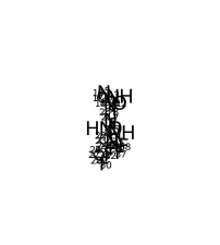 N=C1[C@H](NC(=O)N2CCC(n3c(=O)[nH]c4ncccc43)CC2)CC[C@@H](c2cccc(F)c2F)CN1CC(F)(F)F